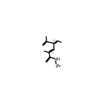 C=C(NC(C)C)/C(C)=C/C(=C\C)C(=C)C